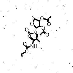 CCOC(=O)Nc1nc(=O)n([C@@H]2O[C@H](C)[C@@H](OC(C)=O)[C@H]2OC(C)=O)cc1I